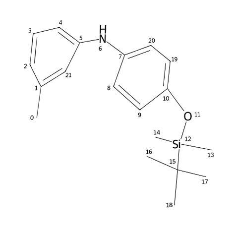 Cc1cccc(Nc2ccc(O[Si](C)(C)C(C)(C)C)cc2)c1